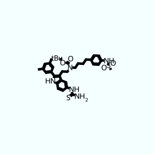 Cc1cc(C)cc(-c2[nH]c3ccc(NC(N)=S)cc3c2CCN(CCCCc2ccc(NS(C)(=O)=O)cc2)C(=O)OC(C)(C)C)c1